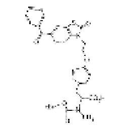 CN(C(=O)OC(C)(C)C)C(Cc1ccc(OCCn2c(=O)sc3cc(C(=O)c4ccccc4)ccc32)cc1)C(=O)O